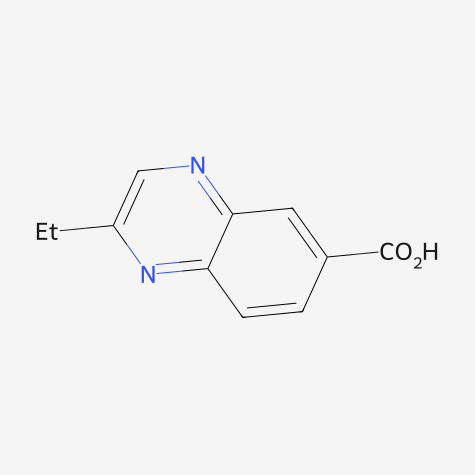 CCc1cnc2cc(C(=O)O)ccc2n1